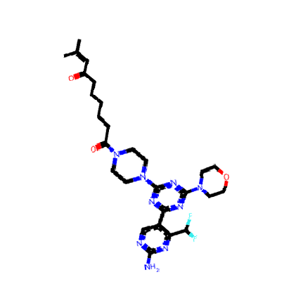 CC(C)=CC(=O)CCCCCC(=O)N1CCN(c2nc(-c3cnc(N)nc3C(F)F)nc(N3CCOCC3)n2)CC1